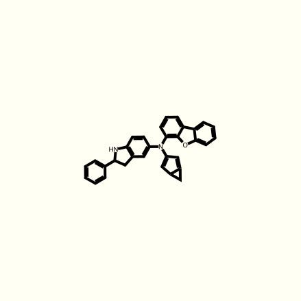 C1=C2CC2C=C1N(c1ccc2c(c1)CC(c1ccccc1)N2)c1cccc2c1oc1ccccc12